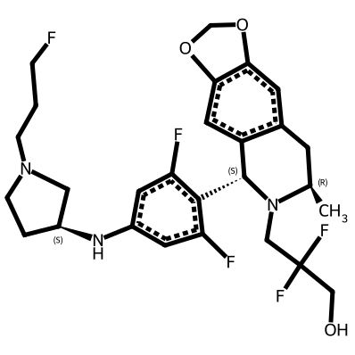 C[C@@H]1Cc2cc3c(cc2[C@@H](c2c(F)cc(N[C@H]4CCN(CCCF)C4)cc2F)N1CC(F)(F)CO)OCO3